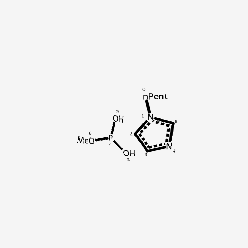 CCCCCn1ccnc1.COP(O)O